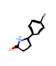 CC(C)c1ccc(C2CCC(=O)N2)cc1